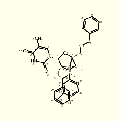 Cc1cn([C@@H]2O[C@@]3(COCc4ccccc4)CN(c4cc(Cl)ncn4)[C@@H]2[C@@H]3OCc2ccccc2)c(=O)[nH]c1=O